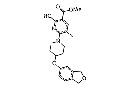 COC(=O)c1cc(C)c(N2CCC(Oc3ccc4c(c3)COC4)CC2)nc1C#N